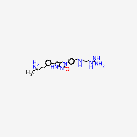 C[C@H](N)CCCc1cccc(-c2cc3cn(-c4ccc(CNCCCNC(=N)N)cc4)c(=O)nc3[nH]2)c1